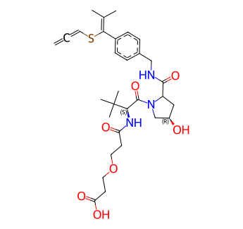 C=C=CSC(=C(C)C)c1ccc(CNC(=O)C2C[C@@H](O)CN2C(=O)[C@@H](NC(=O)CCOCCC(=O)O)C(C)(C)C)cc1